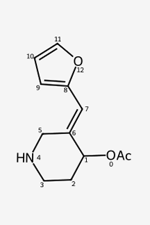 CC(=O)OC1CCNC/C1=C\c1ccco1